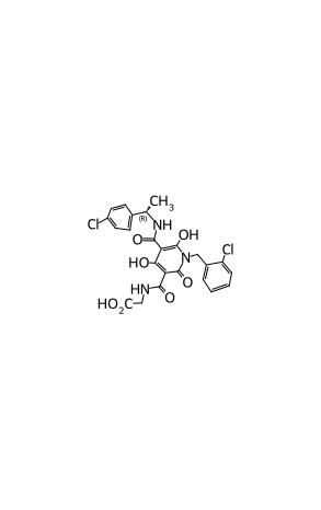 C[C@@H](NC(=O)c1c(O)c(C(=O)NCC(=O)O)c(=O)n(Cc2ccccc2Cl)c1O)c1ccc(Cl)cc1